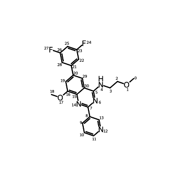 COCCNc1nc(-c2cccnc2)nc2c(OC)cc(-c3cc(F)cc(F)c3)cc12